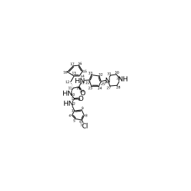 O=C(Nc1ccc(Cl)cc1)N[C@H](Cc1ccccc1)C(=O)Nc1ccc(N2CCNCC2)cc1